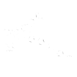 C=C(C)C(=O)OCCCc1cc(-c2ccc(OC(=O)CCc3ccc(CCCCCC)cc3)cc2)ccc1OCC(COC(=O)C(=C)C)(COC(=O)C(=O)OC)COC(=O)C(=O)OC